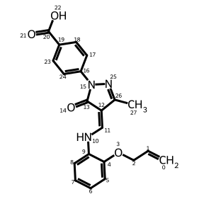 C=CCOc1ccccc1NC=C1C(=O)N(c2ccc(C(=O)O)cc2)N=C1C